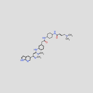 C=N/C(=C\C(=N/C)c1cnc2[nH]ccc2c1)Nc1cccc(CC(=O)NC2CCC(NC(=O)/C=C/CN(C)C)CC2)c1